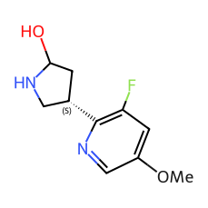 COc1cnc([C@@H]2CNC(O)C2)c(F)c1